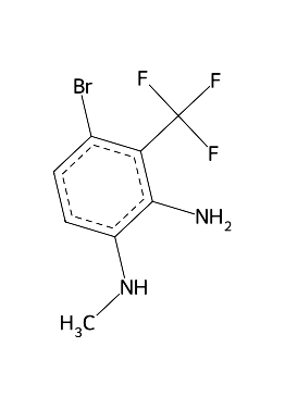 CNc1ccc(Br)c(C(F)(F)F)c1N